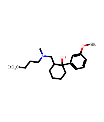 CCCCOc1cccc(C2(O)CCCCC2CN(C)CCCC(=O)OCC)c1